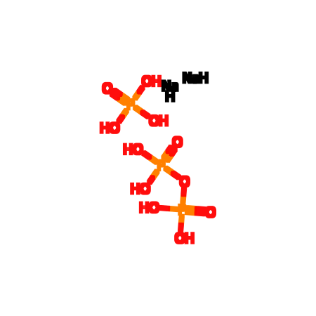 O=P(O)(O)O.O=P(O)(O)OP(=O)(O)O.[NaH].[NaH]